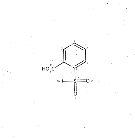 O=C(O)c1ccccc1S(=O)(=O)I